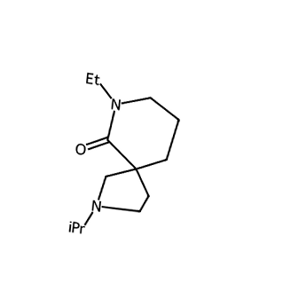 CCN1CCCC2(CCN(C(C)C)C2)C1=O